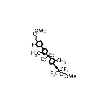 CCC(CC)(c1ccc(C#CC(OCOC)(C(F)(F)F)C(F)(F)F)c(C)c1)c1ccc(-c2ccc(CCOOC)c(F)c2)c(C)c1